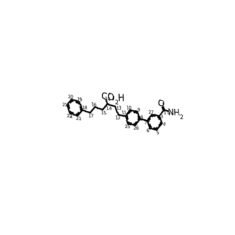 NC(=O)c1cccc(-c2ccc(CCC(CCCc3ccccc3)C(=O)O)cc2)c1